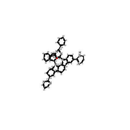 C1=CN=C(c2ccc3c(c2)c2ccc4c5cc(-c6ncccn6)ccc5n(-c5ccccc5)c4c2n3-c2nc(-c3ccccc3)nc(-c3ccccc3)n2)NC1